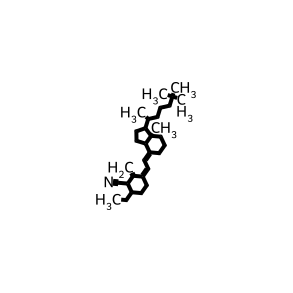 C=C1/C(=C\C=C2/CCCC3(C)C2CCC3C(C)CCCC(C)(C)C)CCC(CC)C1C#N